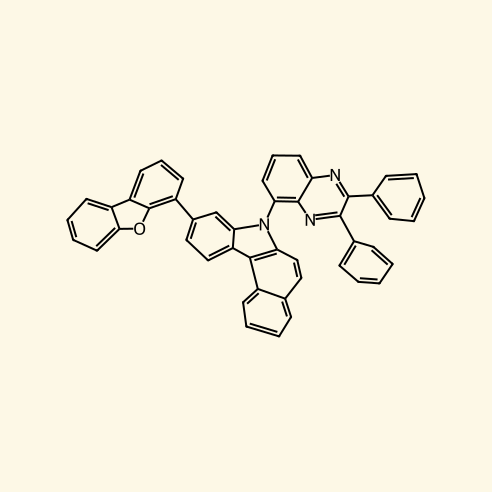 c1ccc(-c2nc3cccc(-n4c5cc(-c6cccc7c6oc6ccccc67)ccc5c5c6ccccc6ccc54)c3nc2-c2ccccc2)cc1